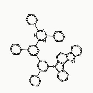 c1ccc(-c2cc(-c3cc(-c4ccccc4)cc(-n4c5ccccc5c5c6oc7ccccc7c6ccc54)c3)cc(-c3nc(-c4ccccc4)nc(-c4ccccc4)n3)c2)cc1